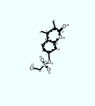 Cc1c(C)c2ccc(OS(=O)(=O)CCl)cc2oc1=O